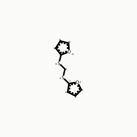 c1coc(SCSc2ccco2)c1